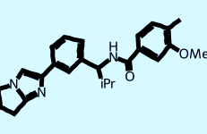 COc1cc(C(=O)NC(c2cccc(-c3cn4c(n3)CCC4)c2)C(C)C)ccc1C